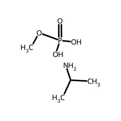 CC(C)N.COP(=O)(O)O